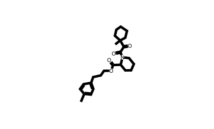 Cc1ccc(CCCOC(=O)C2CCCCN2C(=O)C(=O)C2(C)CCCCC2)cc1